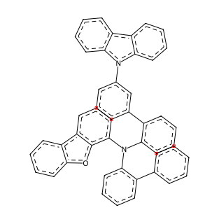 c1ccc(-c2ccccc2N(c2ccccc2-c2cccc(-n3c4ccccc4c4ccccc43)c2)c2cccc3c2oc2ccccc23)cc1